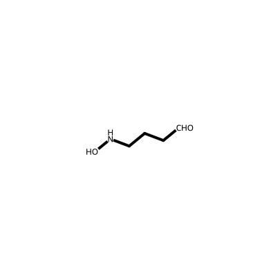 O=CCCCNO